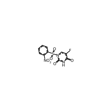 O=c1[nH]c(=O)n(S(=O)(=O)c2ccccc2[N+](=O)[O-])cc1F